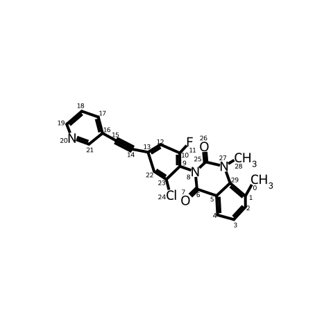 Cc1cccc2c(=O)n(-c3c(F)cc(C#Cc4cccnc4)cc3Cl)c(=O)n(C)c12